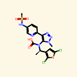 C[C@H](c1cc(Cl)sc1Cl)N(C(=O)O)c1c(-c2ccc(NS(C)(=O)=O)cn2)nnn1C